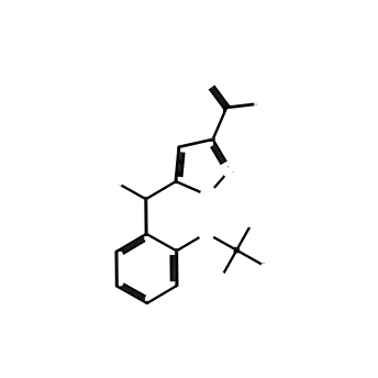 O=C(O)c1cc(C(S)c2ccccc2OC(F)(F)F)on1